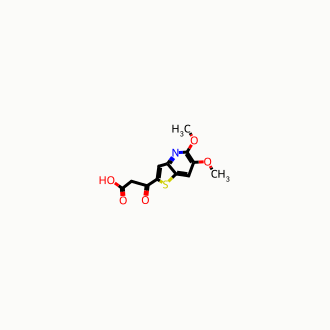 COc1cc2sc(C(=O)CC(=O)O)cc2nc1OC